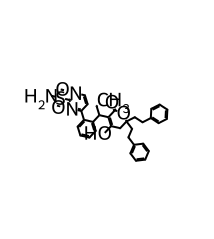 CCC(C1=C(O)CC(CCc2ccccc2)(CCc2ccccc2)OC1=O)c1ccccc1-c1ccnc(S(N)(=O)=O)n1